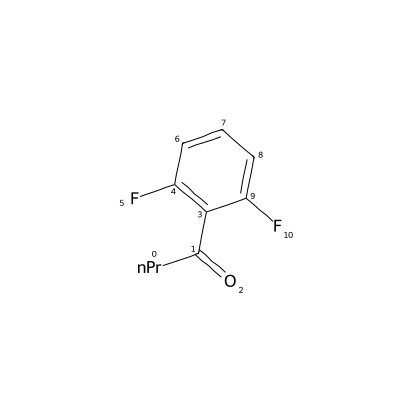 CCCC(=O)c1c(F)cccc1F